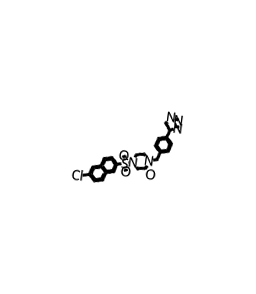 O=C1CN(S(=O)(=O)c2ccc3cc(Cl)ccc3c2)CCN1Cc1ccc(C2C=NN=N2)cc1